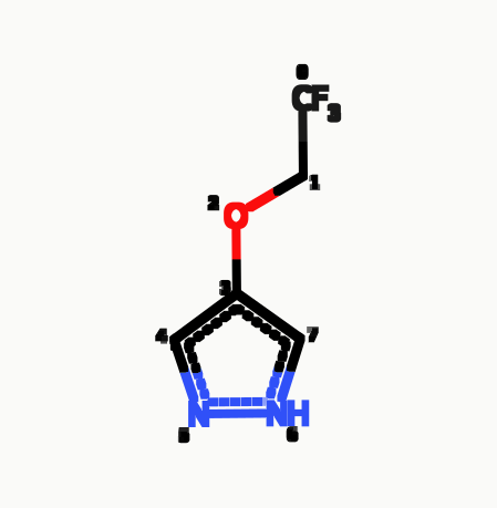 FC(F)(F)COc1[c]n[nH]c1